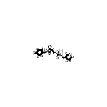 O=S(=O)(CCOC(=S)NCc1cccnc1)NCc1ccc(F)cc1